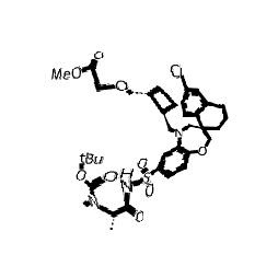 COC(=O)COC[C@@H]1CC[C@H]1CN1C[C@@]2(CCCc3cc(Cl)ccc32)COc2ccc(S(=O)(=O)NC(=O)[C@H](C)N(C)C(=O)OC(C)(C)C)cc21